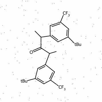 CC(C(=O)C(C)c1cc(C(C)(C)C)cc(C(F)(F)F)c1)c1cc(C(C)(C)C)cc(C(F)(F)F)c1